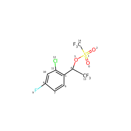 O=S(=O)(OC(c1ccc(F)cc1Cl)C(F)(F)F)C(F)(F)F